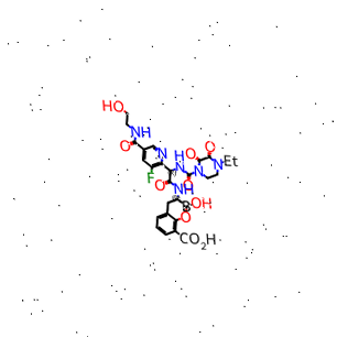 CCN1CCN(C(=O)N[C@@H](C(=O)N[C@H]2Cc3cccc(C(=O)O)c3OB2O)c2ncc(C(=O)NCCO)cc2F)C(=O)C1=O